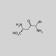 CC(C)C(N)C(=O)C[C@H](N)C(=O)O